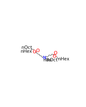 CCCCCCCCC(CCCCCC)COC(=O)CCCCCN(CCCC)CCCCCC(=O)OCC(CCCCCC)CCCCCCCC